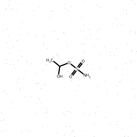 CC(O)OS(N)(=O)=O